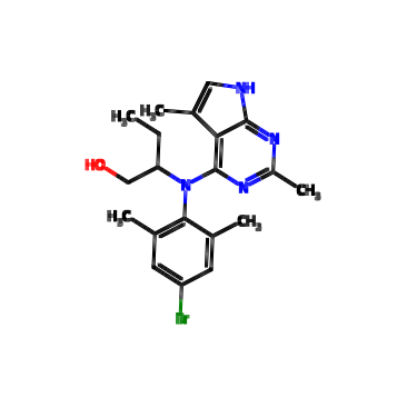 CCC(CO)N(c1c(C)cc(Br)cc1C)c1nc(C)nc2[nH]cc(C)c12